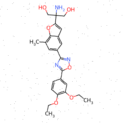 CCOc1ccc(-c2nc(-c3cc(C)c4oc(C(N)(CO)CO)cc4c3)no2)cc1OCC